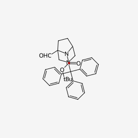 CC(C)(C)OC(=O)N1C2CCC1(C=O)CN(C(c1ccccc1)(c1ccccc1)c1ccccc1)C2